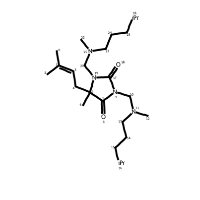 CC(C)=CCC1(C)C(=O)N(CN(C)CCCC(C)C)C(=O)N1CN(C)CCCC(C)C